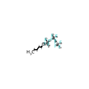 C=CCCCC.F[B-](F)(F)F.F[B-](F)(F)F.F[B-](F)(F)F